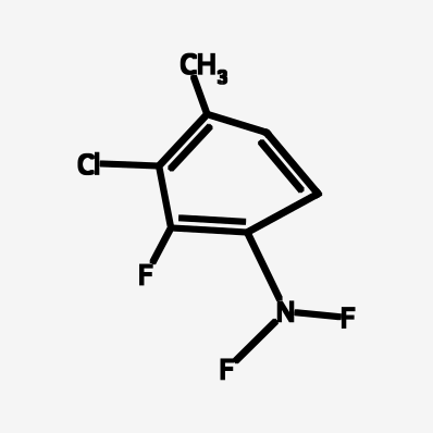 Cc1ccc(N(F)F)c(F)c1Cl